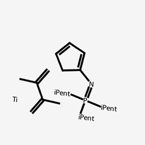 C=C(C)C(=C)C.CCCC(C)P(=NC1=CC=CC1)(C(C)CCC)C(C)CCC.[Ti]